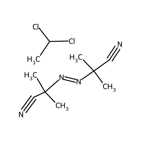 CC(C)(C#N)N=NC(C)(C)C#N.CC(Cl)Cl